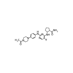 CC(=O)N1CCN(c2ccc(Nc3ncc(F)c(NC4CCCC4C(N)=O)n3)cc2)CC1